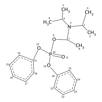 CC(C)N(C(C)C)C(C)OP(=O)(Oc1ccccc1)Oc1ccccc1